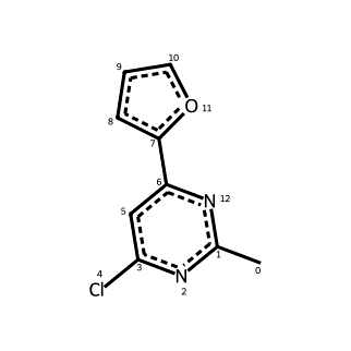 Cc1nc(Cl)cc(-c2ccco2)n1